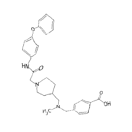 CN(Cc1ccc(C(=O)O)cc1)CC1CCN(CC(=O)Nc2ccc(Oc3ccccc3)cc2)CC1